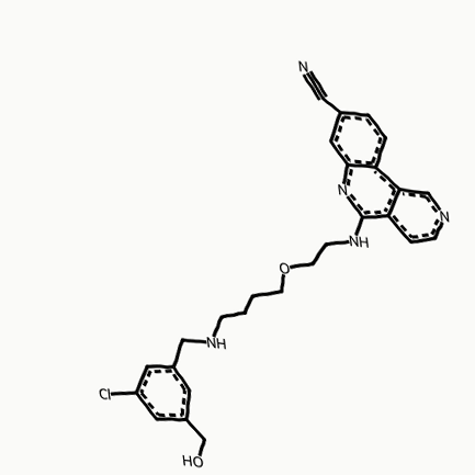 N#Cc1ccc2c(c1)nc(NCCOCCCCNCc1cc(Cl)cc(CO)c1)c1ccncc12